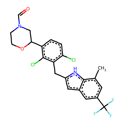 Cc1cc(C(F)(F)F)cc2cc(Cc3c(Cl)ccc(C4CN(C=O)CCO4)c3Cl)[nH]c12